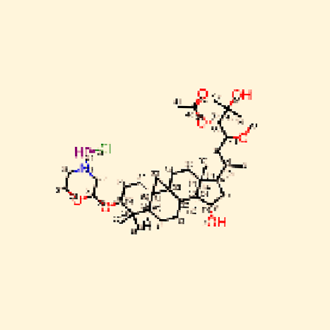 COC(C[C@@H](C)[C@H]1C[C@H](O)[C@@]2(C)C3CC[C@H]4C(C)(C)[C@@H](OC5CN(PCl)CCO5)CC[C@@]45CC35CC[C@]12C)[C@H](OC(C)=O)C(C)(C)O